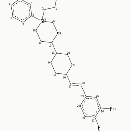 CCC[Si]1(c2ccccc2)CCC(C2CCC(/C=C/c3ccc(F)c(F)c3)CC2)CC1